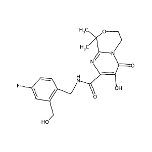 CC1(C)OCCn2c1nc(C(=O)NCc1ccc(F)cc1CO)c(O)c2=O